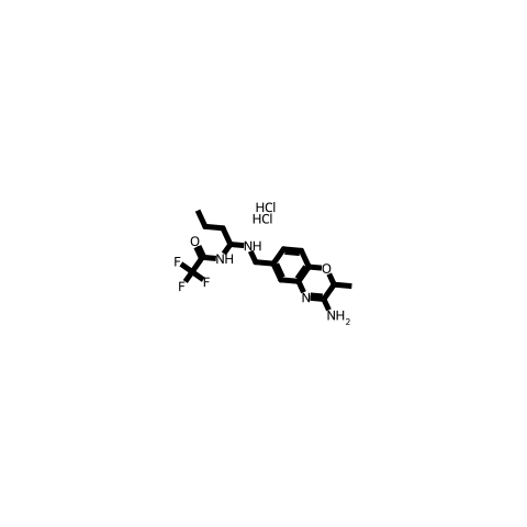 CCCC(NCc1ccc2c(c1)N=C(N)C(C)O2)NC(=O)C(F)(F)F.Cl.Cl